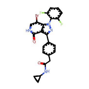 O=C(Cc1ccc(-c2nn(-c3c(F)cccc3F)c3c(Br)c[nH]c(=O)c23)cc1)NC1CC1